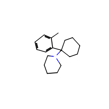 FC(F)(F)c1ccccc1C1(N2CCCCC2)CCCCC1